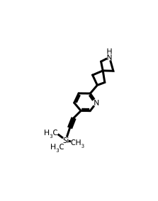 C[Si](C)(C)C#Cc1ccc(C2CC3(CNC3)C2)nc1